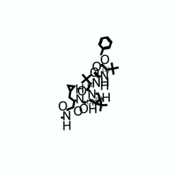 CNC(=O)C(=O)C(CC1CC1)NC(=O)[C@@H]1[C@@H]2[C@H](CN1C(=O)[C@@H](NC(=O)N[C@H](C(=O)OCc1ccccc1)C(C)(C)C)C(C)(C)C)C2(C)C